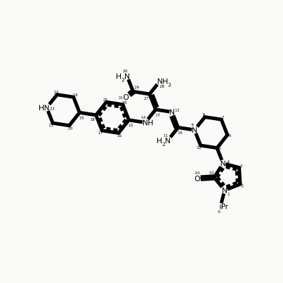 CC(C)n1ccn(C2CCCN(/C(N)=N/C(Nc3ccc(C4CCNCC4)cc3)=C(\N)C(N)=O)C2)c1=O